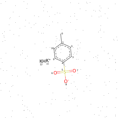 Cc1ccc(S(=O)(=O)[O-])cc1.[K+].[KH]